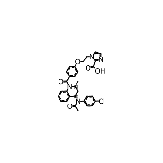 CC(=O)N(c1ccc(Cl)cc1)[C@@H]1C[C@H](C)N(C(=O)c2ccc(OCCn3ccnc3C(=O)O)cc2)c2ccccc21